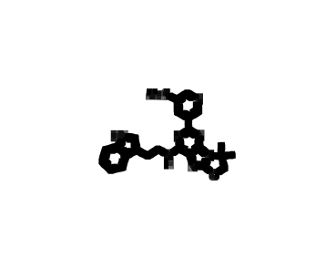 CSc1cncc(-c2nc(NCCc3c[nH]c4ccccc34)c3nc4n(c3n2)C(C)(C)CO4)c1